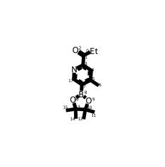 CCC(=O)c1cc(C)c(B2OC(C)(C)C(C)(C)O2)cn1